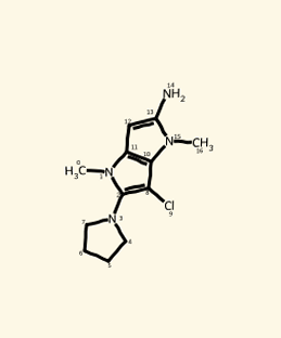 Cn1c(N2CCCC2)c(Cl)c2c1cc(N)n2C